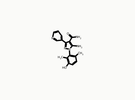 Cc1ccc(O)c(C)c1-n1nc(-c2cccnc2)c(C(N)=O)c1N